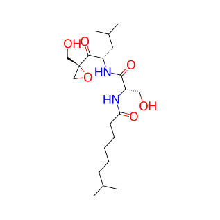 CC(C)CCCCCC(=O)N[C@@H](CO)C(=O)N[C@@H](CC(C)C)C(=O)[C@@]1(CO)CO1